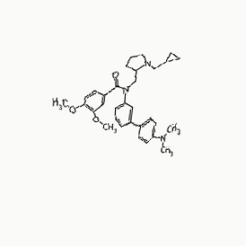 COc1ccc(C(=O)N(CC2CCCN2CC2CC2)c2cccc(-c3ccc(N(C)C)cc3)c2)cc1OC